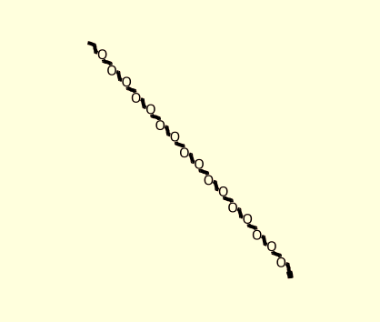 C#CCOCCOCCOCCOCCOCCOCCOCCOCCOCCOCCOCCOCCOCCOCCOCCOCCC